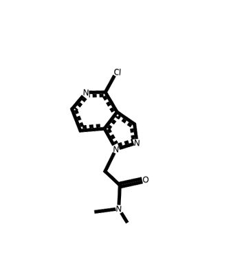 CN(C)C(=O)Cn1ncc2c(Cl)nccc21